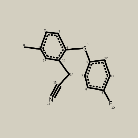 Cc1ccc(Sc2ccc(F)cc2)c(CC#N)c1